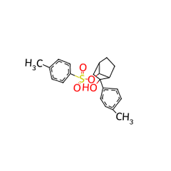 Cc1ccc(C2(O)CC3CCC2C3OS(=O)(=O)c2ccc(C)cc2)cc1